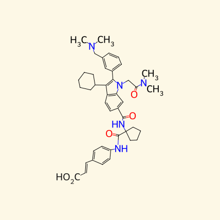 CN(C)Cc1cccc(-c2c(C3CCCCC3)c3ccc(C(=O)NC4(C(=O)Nc5ccc(C=CC(=O)O)cc5)CCCC4)cc3n2CC(=O)N(C)C)c1